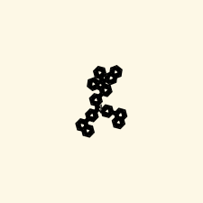 c1ccc(C2(c3ccc4ccccc4c3)c3ccccc3-c3c(-c4cccc(N(c5ccc(-c6cccc7ccccc67)cc5)c5ccc(-c6cccc7ccccc67)cc5)c4)cccc32)cc1